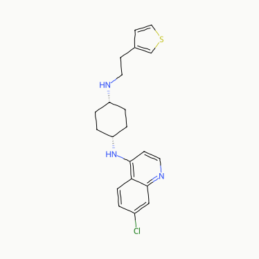 Clc1ccc2c(N[C@H]3CC[C@@H](NCCc4ccsc4)CC3)ccnc2c1